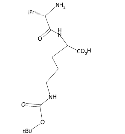 CC(C)[C@H](N)C(=O)NC(CCCNC(=O)OC(C)(C)C)C(=O)O